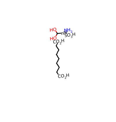 CCCC(O)O.NS(=O)(=O)O.O=C(O)CCCCCCCC(=O)O